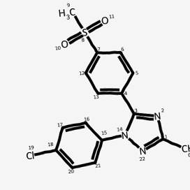 Cc1nc(-c2ccc(S(C)(=O)=O)cc2)n(-c2ccc(Cl)cc2)n1